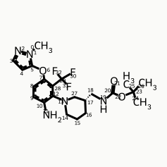 Cn1nccc1Oc1ccc(N)c(N2CCC[C@@H](CNC(=O)OC(C)(C)C)C2)c1C(F)(F)F